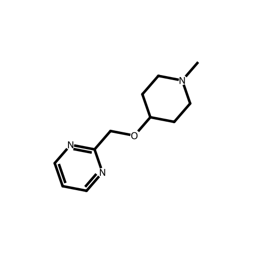 CN1CCC(OCc2ncccn2)CC1